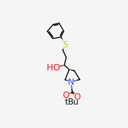 CC(C)(C)OC(=O)N1CC[C@H]([C@@H](O)CCSc2ccccc2)C1